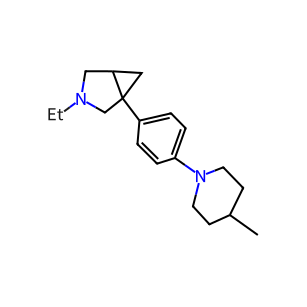 CCN1CC2CC2(c2ccc(N3CCC(C)CC3)cc2)C1